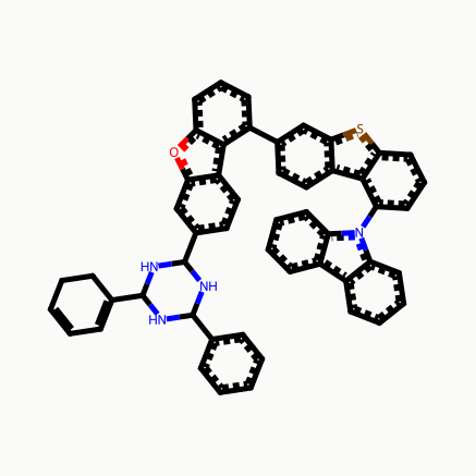 C1=CCCC(C2NC(c3ccccc3)NC(c3ccc4c(c3)oc3cccc(-c5ccc6c(c5)sc5cccc(-n7c8ccccc8c8ccccc87)c56)c34)N2)=C1